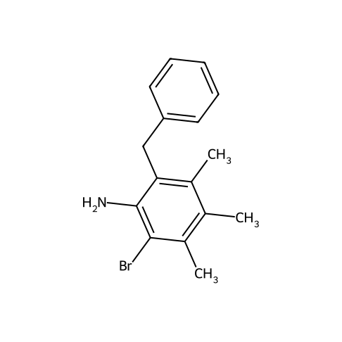 Cc1c(C)c(Br)c(N)c(Cc2ccccc2)c1C